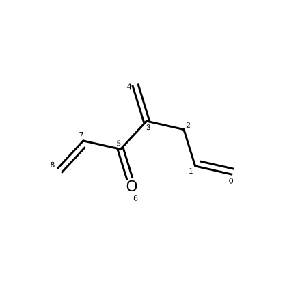 C=CCC(=C)C(=O)C=C